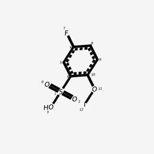 O=S(=O)(O)c1cc(F)ccc1OI